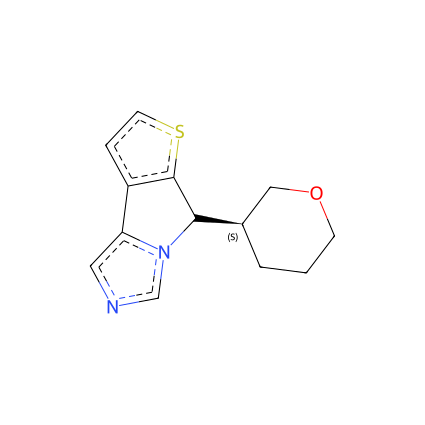 c1cc2c(s1)C([C@@H]1CCCOC1)n1cncc1-2